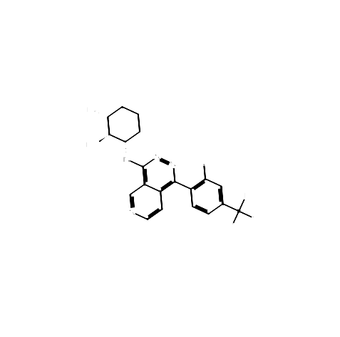 Oc1cc(C(F)(F)F)ccc1-c1nnc(N[C@H]2CCC[C@@H](O)[C@@H]2O)c2cnccc12